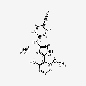 COc1cccc(O)c1-c1cc(Nc2cnc(C#N)cn2)n[nH]1.Cl.[H+].[H+]